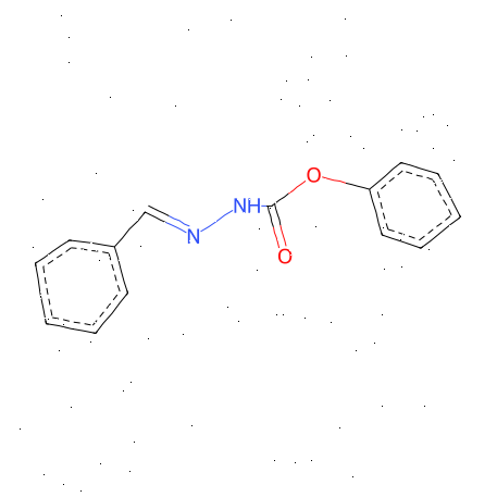 O=C(NN=Cc1ccccc1)Oc1ccccc1